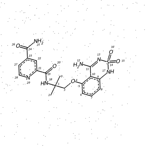 CC(C)(COc1cccc2c1C(N)=NS(=O)(=O)N2)NC(=O)c1cc(C(N)=O)ccn1